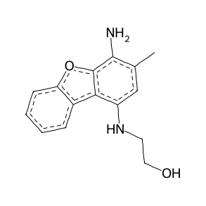 Cc1cc(NCCO)c2c(oc3ccccc32)c1N